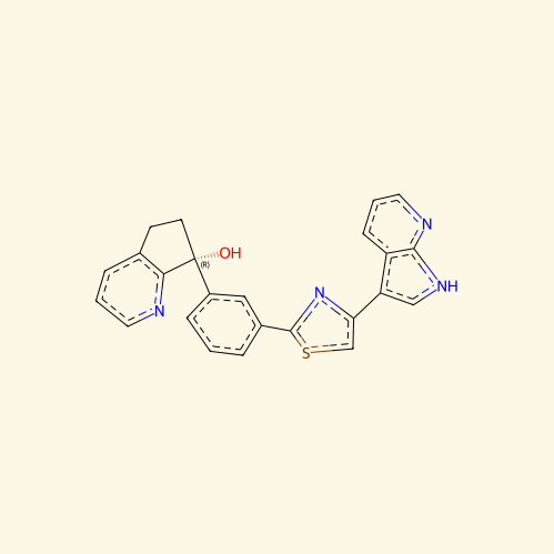 O[C@@]1(c2cccc(-c3nc(-c4c[nH]c5ncccc45)cs3)c2)CCc2cccnc21